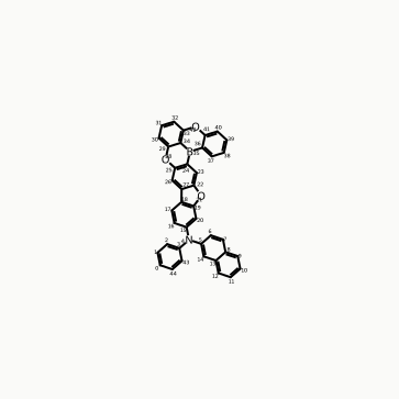 c1ccc(N(c2ccc3ccccc3c2)c2ccc3c(c2)oc2cc4c(cc23)Oc2cccc3c2B4c2ccccc2O3)cc1